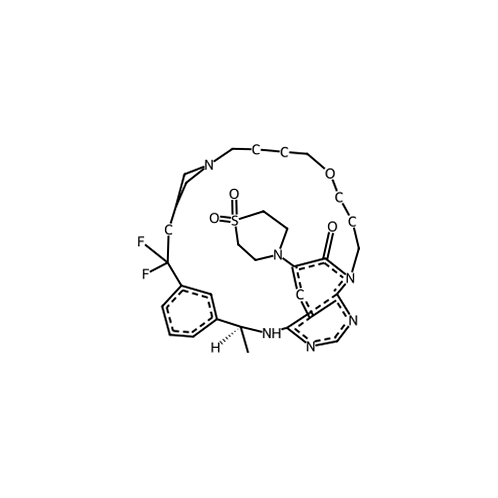 C[C@@H]1Nc2ncnc3c2cc(N2CCS(=O)(=O)CC2)c(=O)n3CCCOCCCCN2CC(C2)CC(F)(F)c2cccc1c2